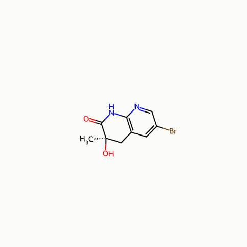 C[C@@]1(O)Cc2cc(Br)cnc2NC1=O